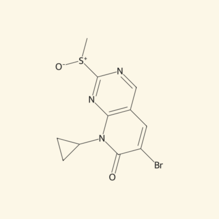 C[S+]([O-])c1ncc2cc(Br)c(=O)n(C3CC3)c2n1